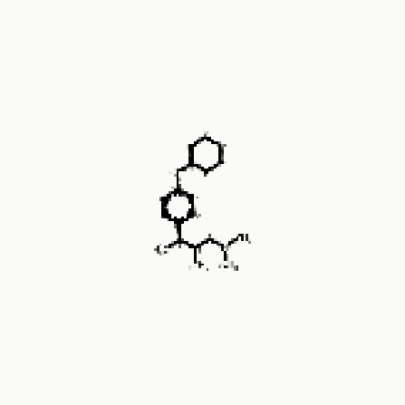 CC(CN(C)C)C(C)c1ccc(SC2CCCCC2)cc1